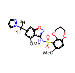 [2H]C([2H])(c1cc(OC)c2c(NS(=O)(=O)c3c(OC)ccc4c3OCCCO4)noc2c1)n1cccn1